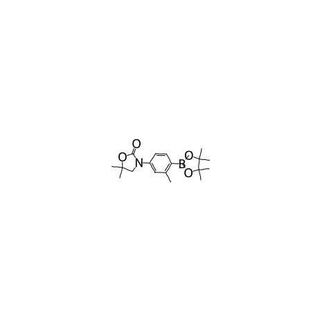 Cc1cc(N2CC(C)(C)OC2=O)ccc1B1OC(C)(C)C(C)(C)O1